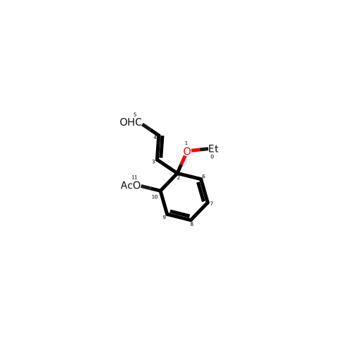 CCOC1(C=CC=O)C=CC=CC1OC(C)=O